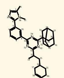 Cc1cnc(-c2cccc(-c3nc(C(C)CC4CC=CCC4)nc(C45CC6CC(CC(C6)C4)C5)n3)c2)n1C